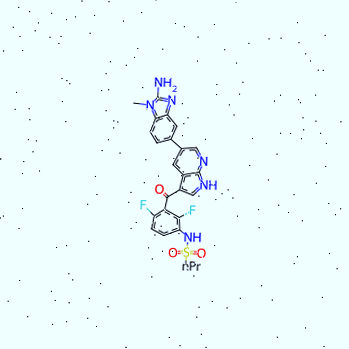 CCCS(=O)(=O)Nc1ccc(F)c(C(=O)c2c[nH]c3ncc(-c4ccc5c(c4)nc(N)n5C)cc23)c1F